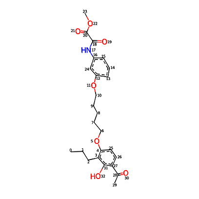 CCCc1c(OCCCCCOc2cccc(NC(=O)C(=O)OC)c2)ccc(C(C)=O)c1O